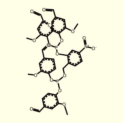 COc1cc(C=O)ccc1OP(OCc1ccc([N+](=O)[O-])cc1OP(Oc1ccc(C=O)cc1OC)Oc1ccc(C=O)cc1OC)Oc1ccc(C=O)cc1OC